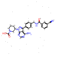 N#Cc1cccc(C(=O)NCc2ccc(-c3nn([C@@H]4CCCN(C(=O)O)C4)c4ncnc(N)c34)cc2)c1